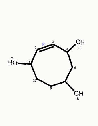 OC1/C=C\C(O)CC(O)CC1